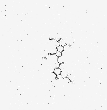 Br.CCOc1cc2c(cc1C(=O)NC)C(=N)N(CC(=O)c1cc(C)c(O)c(CN(C)C(C)=O)c1)C2